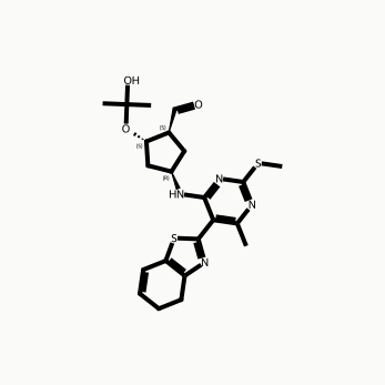 CSc1nc(C)c(-c2nc3c(s2)C=CCC3)c(N[C@H]2C[C@H](OC(C)(C)O)[C@@H](C=O)C2)n1